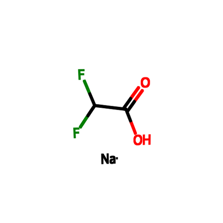 O=C(O)C(F)F.[Na]